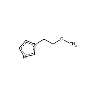 COCCn1ccnc1